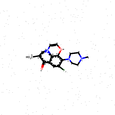 CN1CCN(c2c(F)cc3c(=O)c(C(=O)O)cn4c3c2OC=C4)CC1